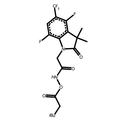 CCC(C)CC(=O)ONC(=O)CN1C(=O)C(C)(C)c2c(F)c(C(F)(F)F)cc(F)c21